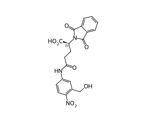 O=C(CC[C@@H](C(=O)O)N1C(=O)c2ccccc2C1=O)Nc1ccc([N+](=O)[O-])c(CO)c1